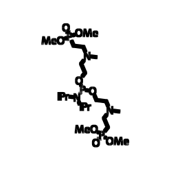 COP(=O)(CCN(C)CCOP(OCCN(C)CCP(=O)(OC)OC)N(C(C)C)C(C)C)OC